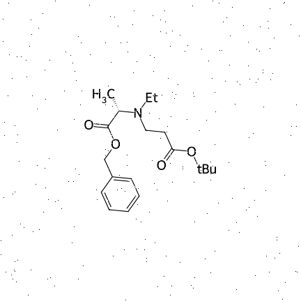 CCN(CCC(=O)OC(C)(C)C)[C@@H](C)C(=O)OCc1ccccc1